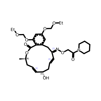 CCOCOc1cc2c(c(OCOCC)c1)C(=O)O[C@H](C)C/C=C/[C@@H](O)C/C=C/C(=N\OCC(=O)N1CCCCC1)C2